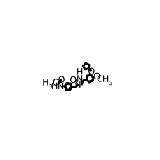 COc1ccc(C2CN(Cc3ccc(NC(C)=O)cc3)C(=O)N2)cc1OC1CCCC1